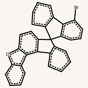 Brc1cccc2c1-c1ccccc1C21c2ccccc2-c2c1ccc1oc3ccccc3c21